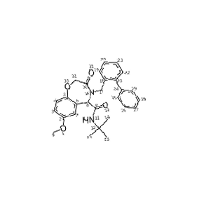 COc1ccc2c(c1)C(C(=O)NC(C)(C)C)N(Cc1ccccc1-c1ccccc1)C(=O)CO2